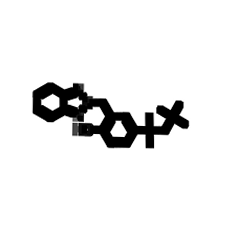 CC(C)(C)CC(C)(C)c1ccc(O)c(Cn2nc3ccccc3n2)c1